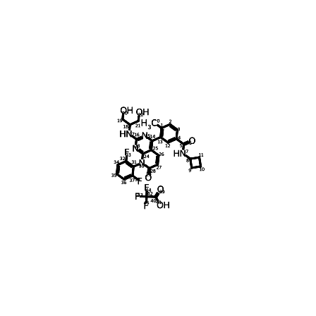 Cc1ccc(C(=O)NC2CCC2)cc1-c1nc(NC(CO)CO)nc2c1ccc(=O)n2-c1c(F)cccc1F.O=C(O)C(F)(F)F